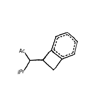 CC(=O)C(C(C)C)C1Cc2ccccc21